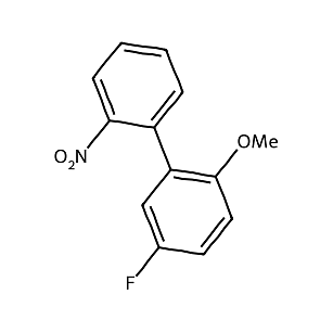 COc1ccc(F)cc1-c1ccccc1[N+](=O)[O-]